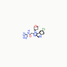 CN/C=C(\C=N)NC(=O)Cc1nc2cnc3ccc(Cl)cc3c2n1[C@@H]1CCO[C@H](C)C1